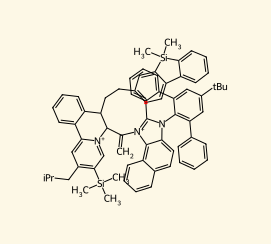 C=C1C2C(CCc3cc4c(cc3-c3n(-c5c(-c6ccccc6)cc(C(C)(C)C)cc5-c5ccccc5)c5ccc6ccccc6c5[n+]31)-c1ccccc1[Si]4(C)C)c1ccccc1-c1cc(CC(C)C)c([Si](C)(C)C)c[n+]12